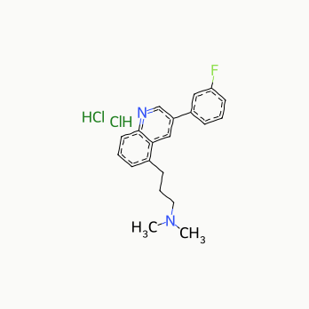 CN(C)CCCc1cccc2ncc(-c3cccc(F)c3)cc12.Cl.Cl